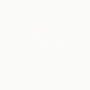 O=C(OC(=O)C(O)C1CCCCC1)c1ccc(Cl)cc1CCc1cccs1